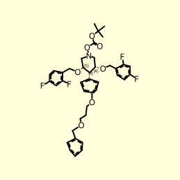 CC(C)(C)OC(=O)ON1C[C@H](OCc2ccc(F)cc2F)[C@H](c2ccc(OCCCOCc3ccccc3)cc2)[C@H](OCc2ccc(F)cc2F)C1